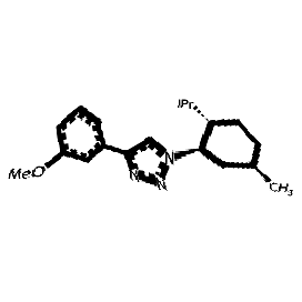 COc1cccc(-c2cn([C@@H]3C[C@H](C)CC[C@H]3C(C)C)nn2)c1